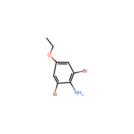 CCOc1cc(Br)c(N)c(Br)c1